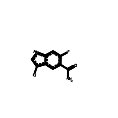 NC(=O)c1cc2c(Cl)c[nH]c2cc1F